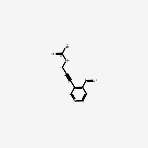 O=Cc1ccncc1C#CCNC(=O)O